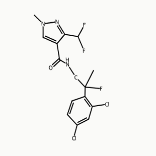 Cn1cc(C(=O)NCC(C)(F)c2ccc(Cl)cc2Cl)c(C(F)F)n1